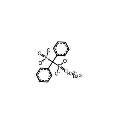 O=P([O-])([O-])C(c1ccccc1)(c1ccccc1)P(=O)([O-])[O-].[Ba+2].[Ba+2]